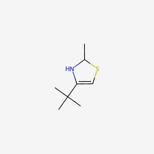 CC1NC(C(C)(C)C)=CS1